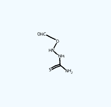 NC(=S)NNOC=O